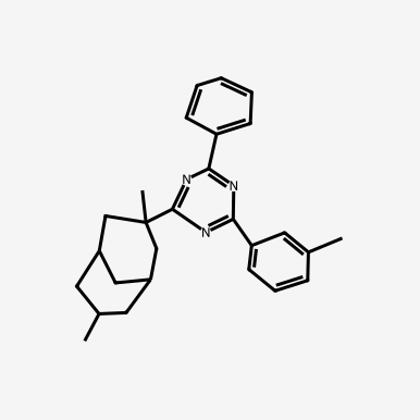 Cc1cccc(-c2nc(-c3ccccc3)nc(C3(C)CC4CC(C)CC(C4)C3)n2)c1